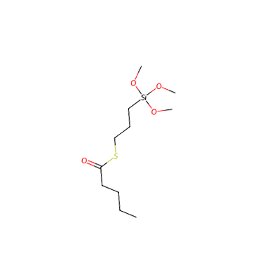 CCCCC(=O)SCCC[Si](OC)(OC)OC